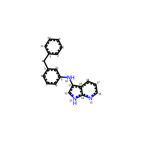 c1ccc(Cc2cccc(Nc3c[nH]c4ncccc34)c2)cc1